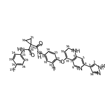 Cn1cc(-c2cc3c(cn2)C(Oc2ccc(NC(=O)C4(C(=O)Nc5ccc(F)cc5)CC4)cc2F)=CCN3)cn1